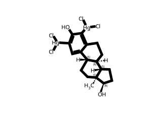 C[C@]12CC[C@@H]3c4c[c]([Hg]([Cl])[Cl])c(O)[c]([Hg]([Cl])[Cl])c4CC[C@H]3[C@@H]1CC[C@H]2O